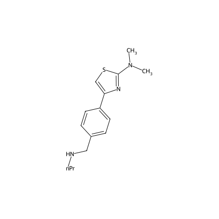 CCCNCc1ccc(-c2csc(N(C)C)n2)cc1